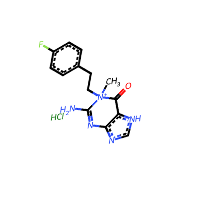 C[N+]1(CCc2ccc(F)cc2)C(=O)c2[nH]cnc2N=C1N.Cl